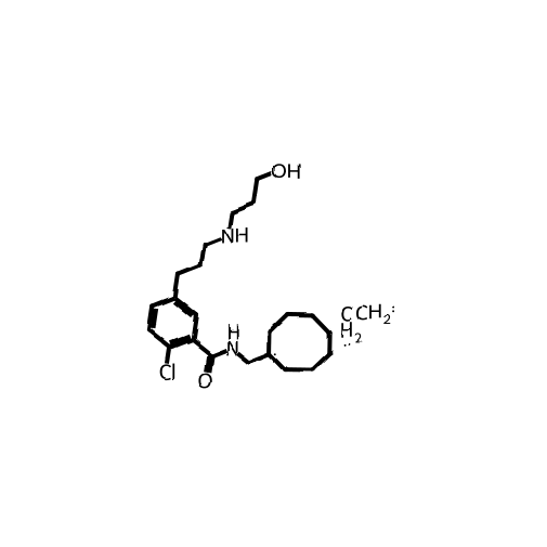 O=C(NC[C]1CCCCCCC1)c1cc(CCCNCCCO)ccc1Cl.[CH2].[CH2]